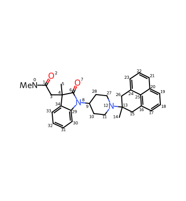 CNC(=O)CC1(C)C(=O)N(C2CCN(C3(C)Cc4cccc5cccc(c45)C3)CC2)c2ccccc21